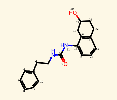 O=C(NCCc1ccccc1)Nc1cccc2c1CC(O)CC2